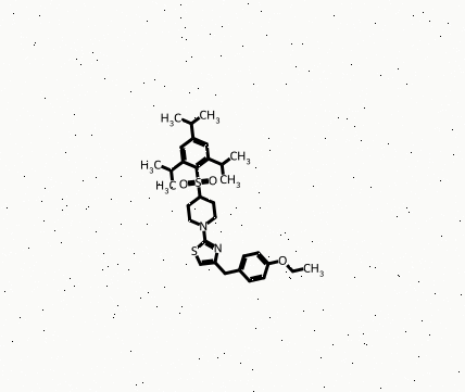 CCOc1ccc(Cc2csc(N3CCC(S(=O)(=O)c4c(C(C)C)cc(C(C)C)cc4C(C)C)CC3)n2)cc1